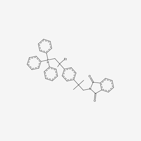 CCC(C)(C[PH](c1ccccc1)(c1ccccc1)c1ccccc1)c1ccc(C(C)(C)CN2C(=O)c3ccccc3C2=O)cc1